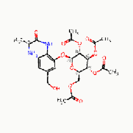 CC(=O)OC[C@H]1O[C@@H](Oc2cc(CO)ccc2NC(=O)[C@H](C)N)[C@H](OC(C)=O)[C@@H](OC(C)=O)[C@@H]1OC(C)=O